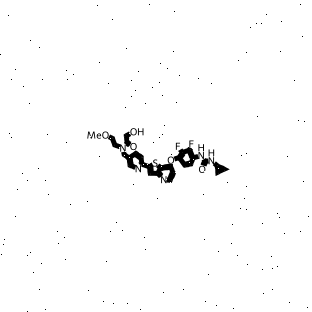 COCCN(Cc1ccc(-c2cc3nccc(Oc4ccc(NC(=O)NC5CC5)c(F)c4F)c3s2)nc1)C(=O)CO